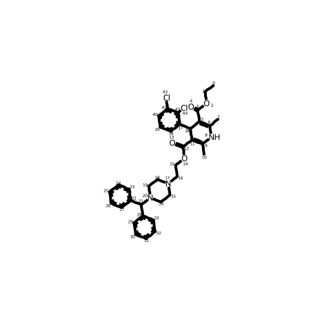 CCOC(=O)C1=C(C)NC(C)=C(C(=O)OCCN2CCN(C(c3ccccc3)c3ccccc3)CC2)C1c1cccc(Cl)c1Cl